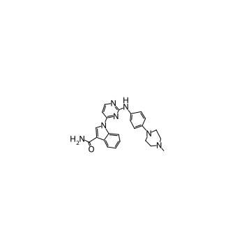 CN1CCN(c2ccc(Nc3nccc(-n4cc(C(N)=O)c5ccccc54)n3)cc2)CC1